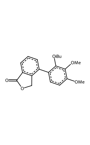 COc1ccc(-c2cccc3c2COC3=O)c(OC[C](C)C)c1OC